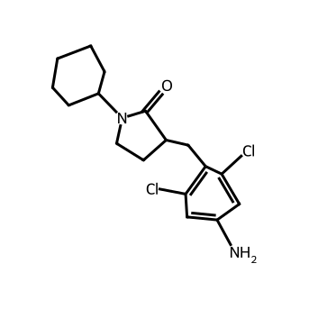 Nc1cc(Cl)c(CC2CCN(C3CCCCC3)C2=O)c(Cl)c1